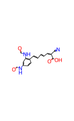 N#CC(=CC=CC=Cc1ccc(NC=O)cc1NC=O)C(=O)O